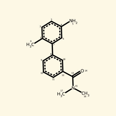 Cc1ccc(N)cc1-c1cccc(C(=O)N(C)C)c1